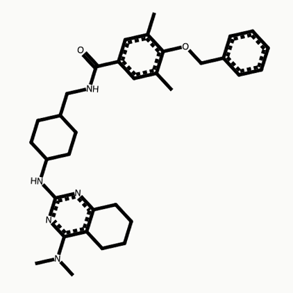 Cc1cc(C(=O)NCC2CCC(Nc3nc4c(c(N(C)C)n3)CCCC4)CC2)cc(C)c1OCc1ccccc1